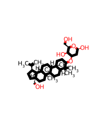 C=C(C)[C@@H]1CC[C@]2(CO)CC[C@]3(C)[C@H](CC[C@@H]4[C@@]5(C)CCC(O[C@@H]6C[C@@H](O)O[C@H](CO)[C@@H]6O)C(C)(C)[C@@H]5CC[C@]43C)[C@@H]12